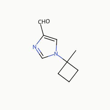 CC1(n2cnc(C=O)c2)CCC1